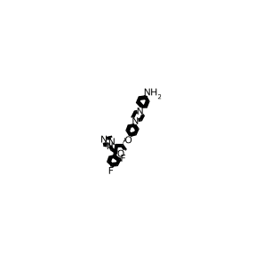 Nc1ccc(N2CCN(c3ccc(OC[C@@H]4COC(Cn5cncn5)(c5ccc(F)cc5F)C4)cc3)CC2)cc1